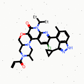 C=CC(=O)N1CC2COc3c(c4cc(Cl)c(-c5c(C)ccc6[nH]nc(C7CC7)c56)nc4n(C(CC)CC)c3=O)N2CC1C